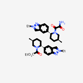 CCOC(=O)C(=O)N1C[C@@H](C)CC[C@@H]1c1ccc2nn(CC)cc2c1.CCn1cc2cc([C@H]3CC[C@H](C)CN3C(=O)C(N)=O)ccc2n1